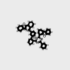 C1=CC(c2cccc(-c3nc4c(oc5ccccc54)c4c3C=CCC4)c2)=C(C2=NC(c3ccccc3)=NC(c3cccc4c3oc3ccccc34)N2)CC1